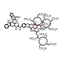 CNC(=O)[C@H](Cc1cnc[nH]1)NC(=O)[C@H](Cc1c[nH]c2ccccc12)NC(=S)Nc1ccc(C[C@@H](CN(CCNC(=O)CCC(C(=O)O)N2CCN(CC(=O)O)CCN(CC(=O)O)CCN(CC(=O)O)CC2)C(=O)CCC(C(=O)O)N2CCN(CC(=O)O)CCN(CC(=O)O)CCN(CC(=O)O)CC2)NC(=O)CC[C@@H](C(=O)O)N2CCN(CC(=O)O)CCN(CC(=O)O)CCN(CC(=O)O)CC2)cc1